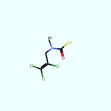 CC(C)N(CC(Cl)=C(Cl)Cl)C(=O)S